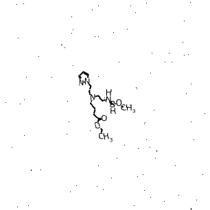 CCOC(=O)CCCN(CCNBOC)CCn1cccn1